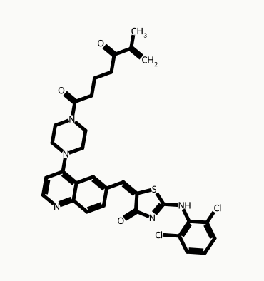 C=C(C)C(=O)CCCC(=O)N1CCN(c2ccnc3ccc(/C=C4/SC(Nc5c(Cl)cccc5Cl)=NC4=O)cc23)CC1